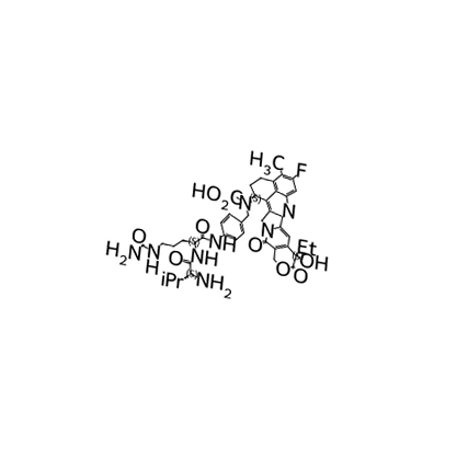 CC[C@@]1(O)C(=O)OCc2c1cc1n(c2=O)Cc2c-1nc1cc(F)c(C)c3c1c2[C@@H](N(Cc1ccc(NC(=O)[C@H](CCCNC(N)=O)NC(=O)[C@@H](N)C(C)C)cc1)C(=O)O)CC3